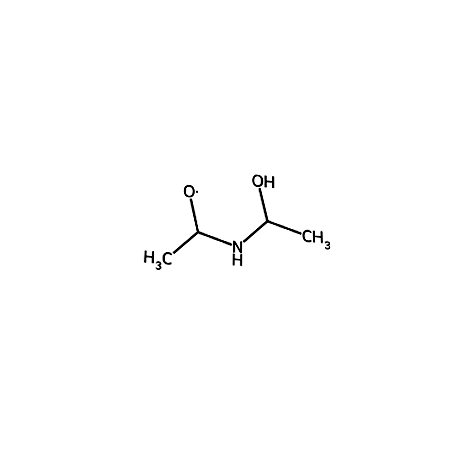 CC([O])NC(C)O